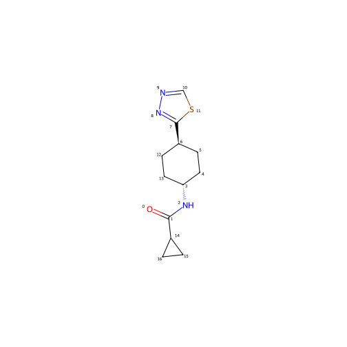 O=C(N[C@H]1CC[C@H](c2nncs2)CC1)C1CC1